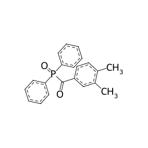 Cc1ccc(C(=O)P(=O)(c2ccccc2)c2ccccc2)cc1C